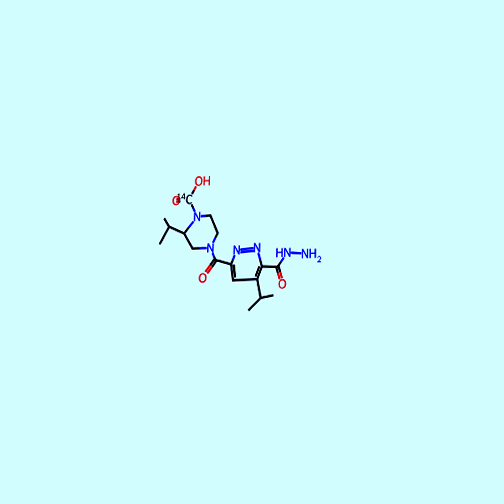 CC(C)c1cc(C(=O)N2CCN([14C](=O)O)C(C(C)C)C2)nnc1C(=O)NN